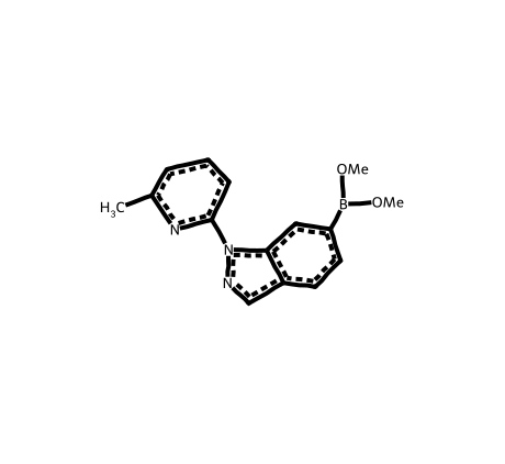 COB(OC)c1ccc2cnn(-c3cccc(C)n3)c2c1